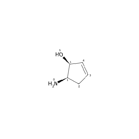 N[C@@H]1CC=C[C@@H]1O